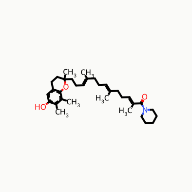 C/C(=C\CC/C(C)=C/CCC1(C)CCc2cc(O)c(C)c(C)c2O1)CC/C=C(\C)C(=O)N1CCCCC1